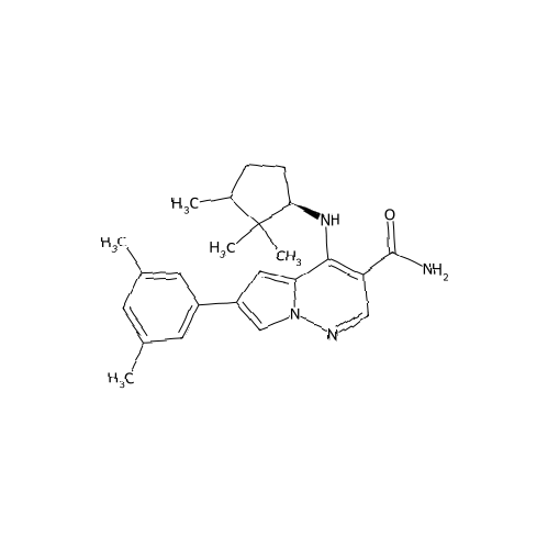 Cc1cc(C)cc(-c2cc3c(N[C@@H]4CCC(C)C4(C)C)c(C(N)=O)cnn3c2)c1